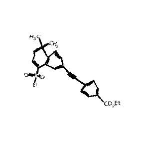 CCOC(=O)c1ccc(C#Cc2ccc3c(c2)C(S(=O)(=O)CC)=CCC3(C)C)cc1